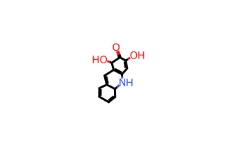 O=C1C(O)=CC2=C(C=C3C=CC=CC3N2)C1O